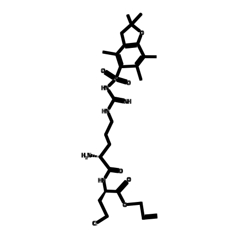 C=CCOC(=O)[C@@H](CCCl)NC(=O)[C@H](N)CCCNC(=N)NS(=O)(=O)c1c(C)c(C)c2c(c1C)CC(C)(C)O2